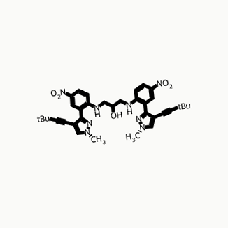 Cn1cc(C#CC(C)(C)C)c(-c2cc([N+](=O)[O-])ccc2NCC(O)CNc2ccc([N+](=O)[O-])cc2-c2nn(C)cc2C#CC(C)(C)C)n1